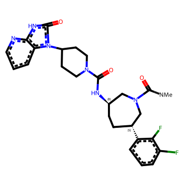 CNC(=O)N1C[C@H](NC(=O)N2CCC(n3c(=O)[nH]c4ncccc43)CC2)CC[C@@H](c2cccc(F)c2F)C1